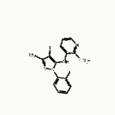 Cc1ccccc1-n1nc(C(C)(C)C)c(I)c1Nc1cccnc1C(=O)O